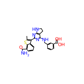 Cc1sc2c(C(N)=O)cccc2c1-c1nc2c(c(NCc3cccc(B(O)O)c3)n1)CCN2